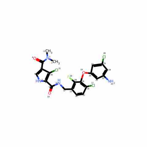 CN(C)C(=O)c1c[nH]c(C(=O)NCc2ccc(Cl)c(Oc3cc(N)cc(Cl)c3)c2F)c1Cl